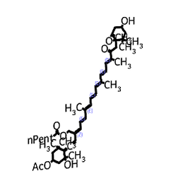 CCCCCC(=O)OC\C(C=C=C1C(C)(C)CC(OC(C)=O)CC1(C)O)=C/C=C/C(C)=C/C=C/C=C(C)/C=C/C=C(\C)C(=O)CC12OC1(C)CC(O)CC2(C)C